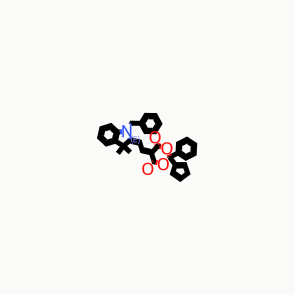 CC1(C)/C(=C\C=C2C(=O)OC(C3=CCC=C3)(c3ccccc3)OC2=O)N(Cc2ccccc2)c2ccccc21